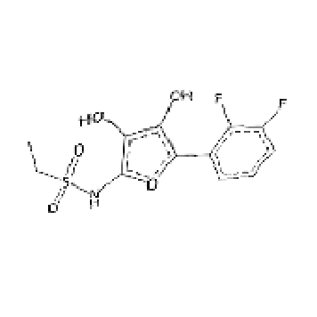 CCS(=O)(=O)Nc1oc(-c2cccc(F)c2F)c(O)c1O